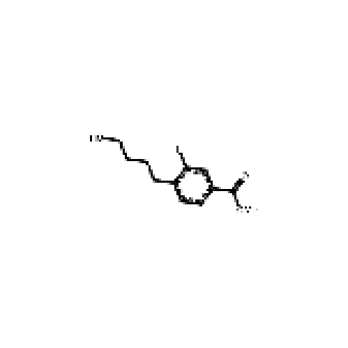 COC(=O)c1ccc(CCCCO)c(F)c1